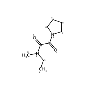 CCN(C)C(=O)C(=O)N1CCCC1